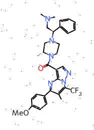 COc1ccc(-c2nc3c(C(=O)N4CCN([C@@H](CN(C)C)c5ccccc5)C[C@H]4C)cnn3c(C(F)(F)F)c2C)cc1